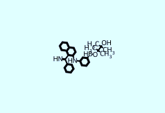 CC(C)(O)C(C)(C)OBc1cccc(Nc2ccc3ccccc3c2C(=N)c2ccccc2)c1